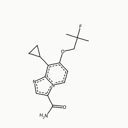 CC(C)(F)COc1ccn2c(C(N)=O)cnc2c1C1CC1